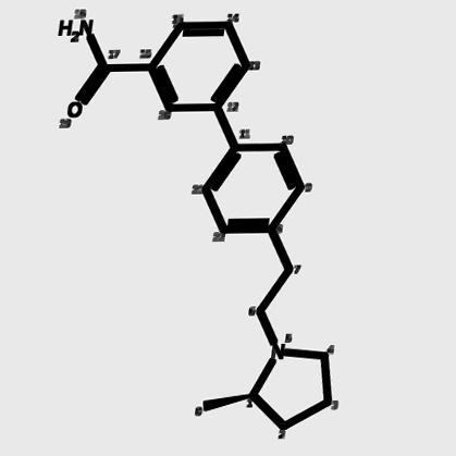 C[C@@H]1CCCN1CCc1ccc(-c2cc[c]c(C(N)=O)c2)cc1